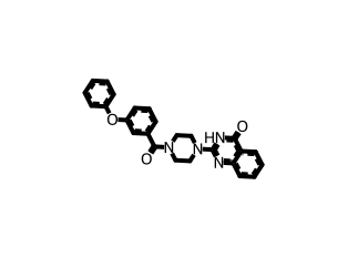 O=C(c1cccc(Oc2ccccc2)c1)N1CCN(c2nc3ccccc3c(=O)[nH]2)CC1